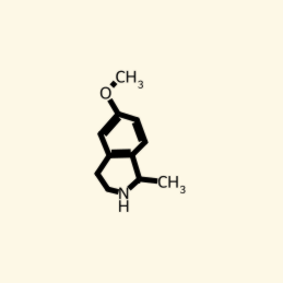 COc1ccc2c(c1)CCN[C]2C